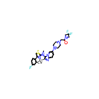 CCc1nc2ccc(N3CCN(CC(=O)N4CC(F)(F)C4)CC3)cn2c1N(C)c1nc(-c2ccc(F)cc2C#N)cs1